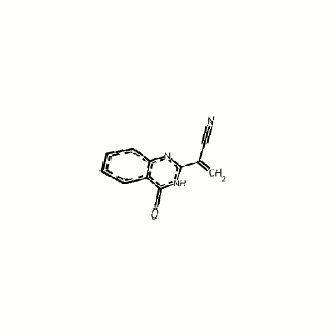 C=C(C#N)c1nc2ccccc2c(=O)[nH]1